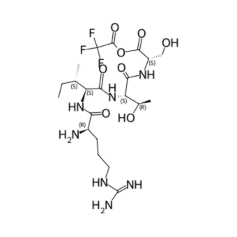 CC[C@H](C)[C@H](NC(=O)[C@H](N)CCCNC(=N)N)C(=O)N[C@H](C(=O)N[C@@H](CO)C(=O)OC(=O)C(F)(F)F)[C@@H](C)O